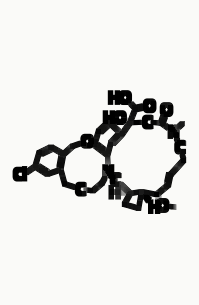 CO[C@H]1/C=C/CCN(C)C(=O)C[C@](O)(C(=O)O)c2ccc3c(c2)N(CCCCc2cc(Cl)ccc2CO3)C[C@@H]2CC[C@H]21